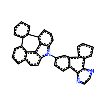 c1ccc2c(c1)-c1cccc3ccc4c(c13)c1c-2cccc1n4-c1ccc2c(c1)c1ccccc1c1nccnc21